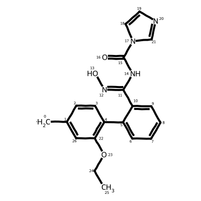 [CH2]c1ccc(-c2ccccc2C(=NO)NC(=O)n2ccnc2)c(OCC)c1